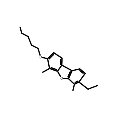 CCCCCOc1ccc2c(oc3c(C)c(CC)ccc32)c1C